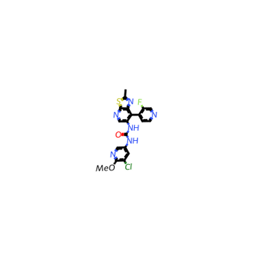 COc1ncc(NC(=O)Nc2cnc3sc(C)nc3c2-c2ccncc2F)cc1Cl